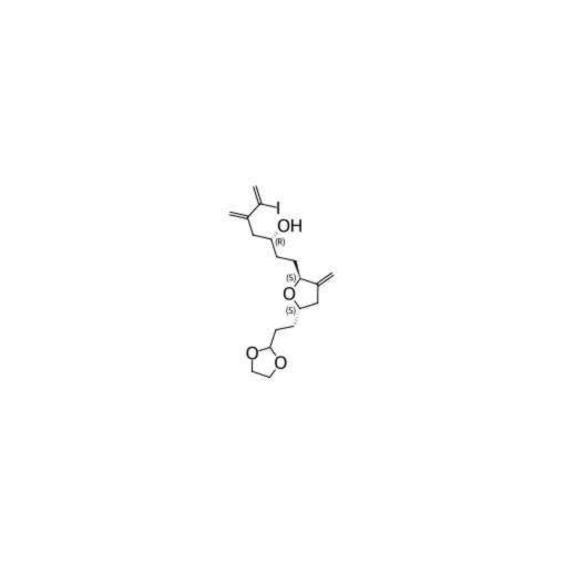 C=C(I)C(=C)C[C@H](O)CC[C@@H]1O[C@@H](CCC2OCCO2)CC1=C